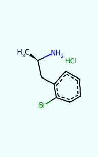 C[C@@H](N)Cc1ccccc1Br.Cl